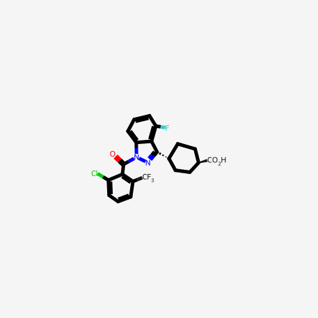 O=C(c1c(Cl)cccc1C(F)(F)F)n1nc([C@H]2CC[C@H](C(=O)O)CC2)c2c(F)cccc21